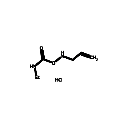 C=CCNOC(=O)NCC.Cl